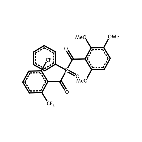 COc1ccc(OC)c(C(=O)P(=O)(C(=O)c2c(C(F)(F)F)cccc2C(F)(F)F)c2ccccc2)c1OC